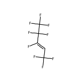 F/C(=C\C(F)(F)F)C(F)(F)C(F)(F)F